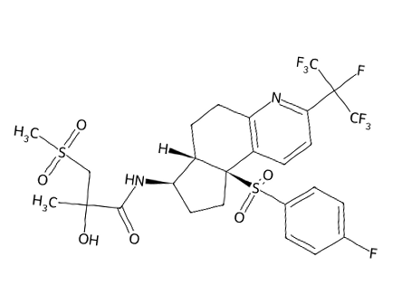 CC(O)(CS(C)(=O)=O)C(=O)N[C@@H]1CC[C@@]2(S(=O)(=O)c3ccc(F)cc3)c3ccc(C(F)(C(F)(F)F)C(F)(F)F)nc3CC[C@@H]12